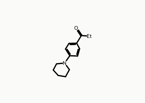 CCC(=O)c1ccc(N2CCCCC2)cc1